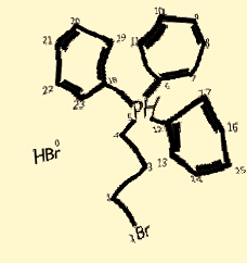 Br.BrCCC[PH](c1ccccc1)(c1ccccc1)c1ccccc1